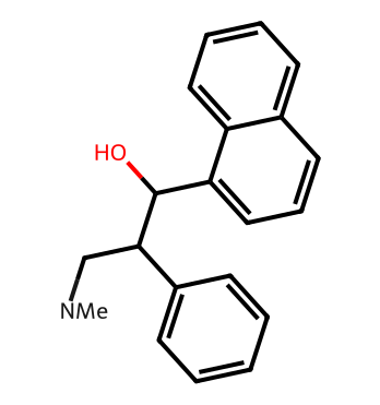 CNCC(c1ccccc1)C(O)c1cccc2ccccc12